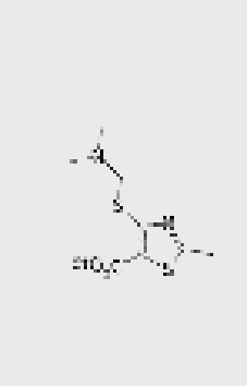 CCOC(=O)c1sc(C)nc1SCN(C)C